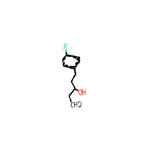 O=[C]CC(O)CCc1ccc(F)cc1